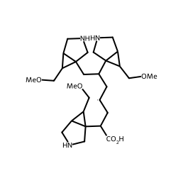 COCC1C2CNCC21CC(C[CH]CC(C(=O)O)C12CNCC1C2COC)C12CNCC1C2COC